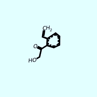 C=Cc1ccccc1C(=O)CO